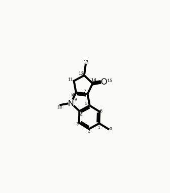 Cc1ccc2c(c1)c1c(n2C)CC(C)C1=O